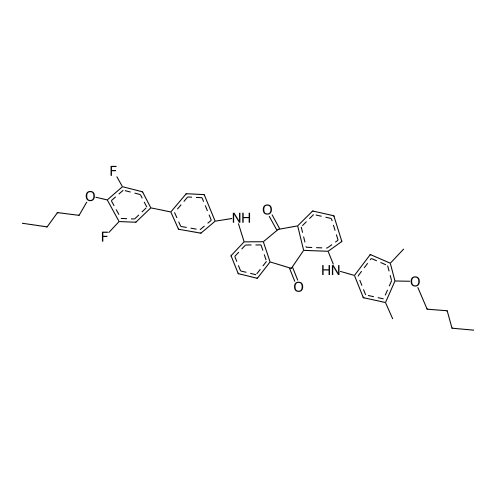 CCCCOc1c(C)cc(Nc2cccc3c2C(=O)c2cccc(Nc4ccc(-c5cc(F)c(OCCCC)c(F)c5)cc4)c2C3=O)cc1C